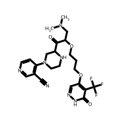 CN(C)CC(OCCCOc1cn[nH]c(=O)c1C(F)(F)F)C(=O)C1CN(c2ccncc2C#N)CCN1